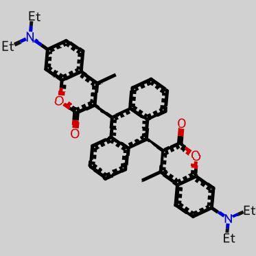 CCN(CC)c1ccc2c(C)c(-c3c4ccccc4c(-c4c(C)c5ccc(N(CC)CC)cc5oc4=O)c4ccccc34)c(=O)oc2c1